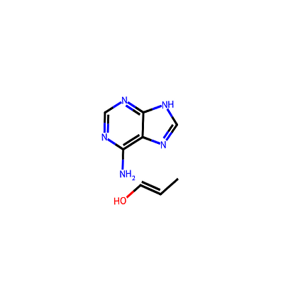 CC=CO.Nc1ncnc2[nH]cnc12